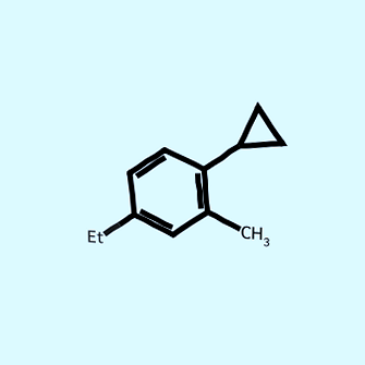 CCc1ccc(C2CC2)c(C)c1